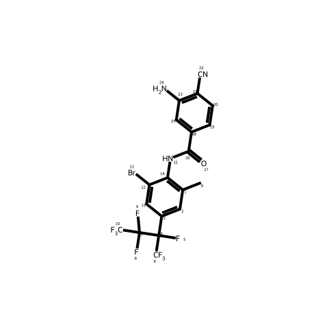 Cc1cc(C(F)(C(F)(F)F)C(F)(F)C(F)(F)F)cc(Br)c1NC(=O)c1ccc(C#N)c(N)c1